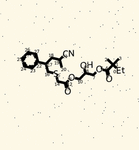 CCC(C)(C)C(=O)OCC(O)COC(=O)CSCC(CC(C)C#N)c1ccccc1